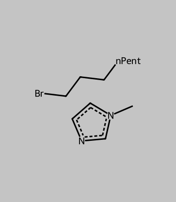 CCCCCCCCBr.Cn1ccnc1